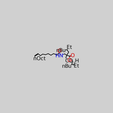 CCCCCCCC/C=C\CCCCCCCC(=O)NCC(CC(=O)O)(CC(CC)CCCC)C(=O)OCC(CC)CCCC